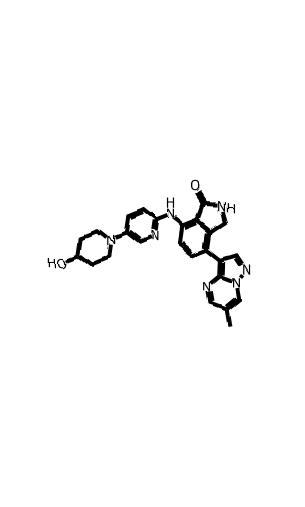 Cc1cnc2c(-c3ccc(Nc4ccc(N5CCC(O)CC5)cn4)c4c3CNC4=O)cnn2c1